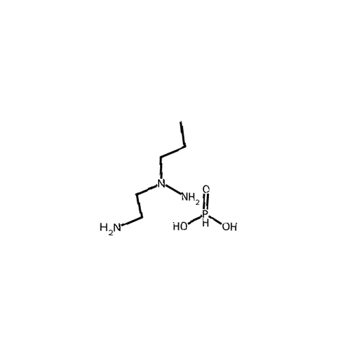 CCCN(N)CCN.O=[PH](O)O